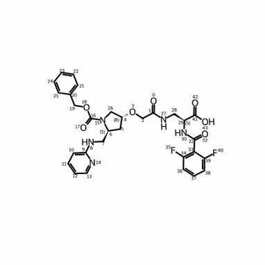 O=C(CO[C@@H]1C[C@@H](CNc2ccccn2)N(C(=O)OCc2ccccc2)C1)NC[C@H](NC(=O)c1c(F)cccc1F)C(=O)O